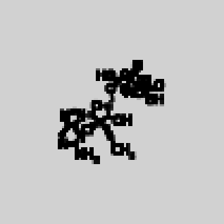 CC#C[C@@]1(Cl)C(O)[C@@H](COP(=O)(O)OP(=O)(O)OP(=O)(O)O)O[C@H]1n1cnc2cnc(N)nc21